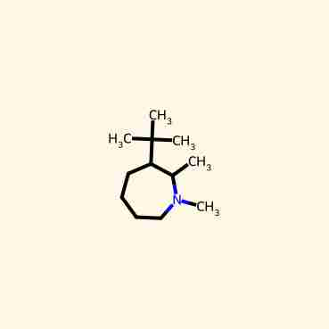 CC1C(C(C)(C)C)CCCCN1C